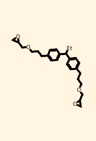 CCC(c1ccc(CCCOCC2CO2)cc1)c1ccc(CCCOCC2CO2)cc1